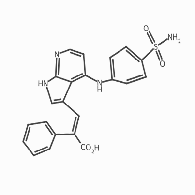 NS(=O)(=O)c1ccc(Nc2ccnc3[nH]cc(C=C(C(=O)O)c4ccccc4)c23)cc1